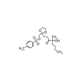 CCCCC(C)(O)C(=O)CCC1(COS(=O)(=O)c2ccc(C)cc2)OCCO1